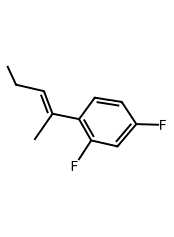 CC/C=C(\C)c1ccc(F)cc1F